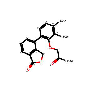 COC(=O)COc1c(-c2cccc3c2COC3=O)ccc(OC)c1OC